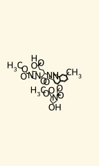 CCOC(=O)N1CCN(C(=O)C(CCC(=O)O)NC(=O)c2cc(OCC(=O)N3CC(O)CC3C(=O)OC)c3ccc(C)cc3n2)CC1